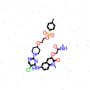 CNC(=O)COc1cc2cc(Nc3nc(N4CCC(OCCOS(=O)(=O)c5ccc(C)cc5)CC4)ncc3Cl)ccc2n(C)c1=O